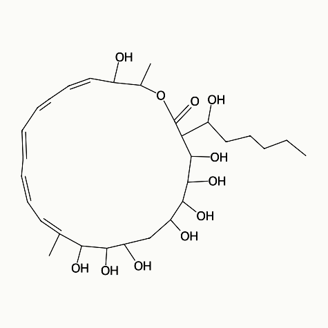 CCCCCC(O)C1C(=O)OC(C)C(O)\C=C/C=C\C=C/C=C\C=C(\C)C(O)C(O)C(O)CC(O)C(O)C(O)C1O